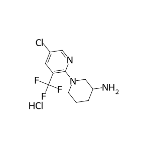 Cl.NC1CCCN(c2ncc(Cl)cc2C(F)(F)F)C1